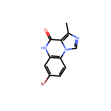 Cc1ncn2c1c(=O)[nH]c1cc(Br)ccc12